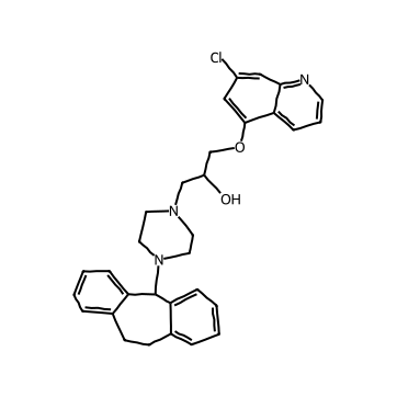 OC(COc1cc(Cl)cc2ncccc12)CN1CCN(C2c3ccccc3CCc3ccccc32)CC1